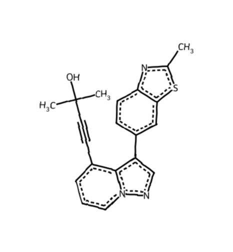 Cc1nc2ccc(-c3cnn4cccc(C#CC(C)(C)O)c34)cc2s1